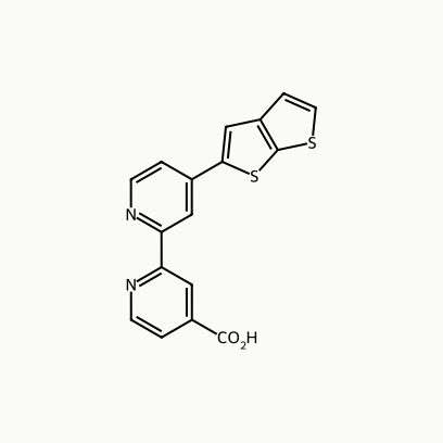 O=C(O)c1ccnc(-c2cc(-c3cc4ccsc4s3)ccn2)c1